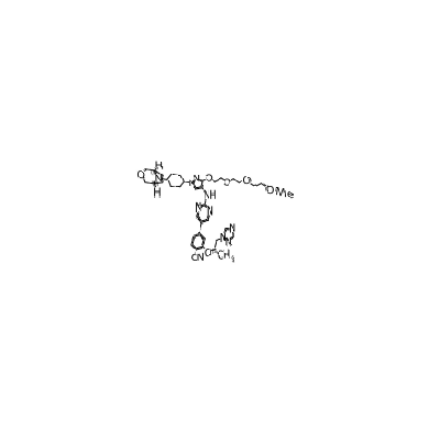 COCCOCCOCCOc1nn(C2CCC(N3[C@@H]4CC[C@H]3COC4)CC2)cc1Nc1ncc(-c2ccc(C#N)c(O[C@@H](C)Cn3cncn3)c2)cn1